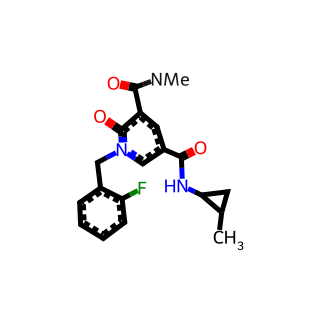 CNC(=O)c1cc(C(=O)NC2CC2C)cn(Cc2ccccc2F)c1=O